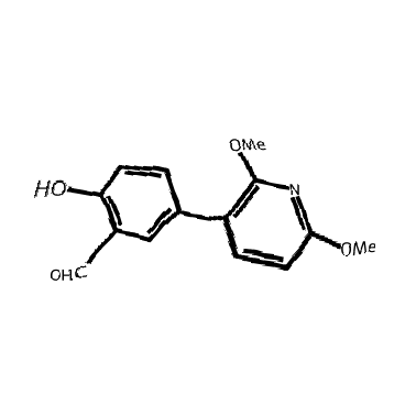 COc1ccc(-c2ccc(O)c(C=O)c2)c(OC)n1